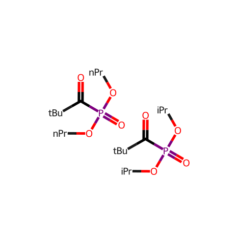 CC(C)OP(=O)(OC(C)C)C(=O)C(C)(C)C.CCCOP(=O)(OCCC)C(=O)C(C)(C)C